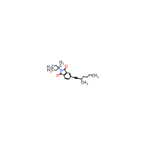 CCCCC(C)C#Cc1ccc2c(c1)C(=O)N(C(C)(CC)CC)C2=O